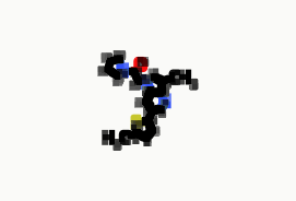 Cc1ccc(-c2cnc3c(C)cn(CC(=O)N4CCCC4)c3c2)s1